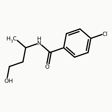 CC(CCO)NC(=O)c1ccc(Cl)cc1